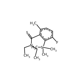 CCN(CC)C(=S)c1c(C)ccc(F)c1[Si](C)(C)C